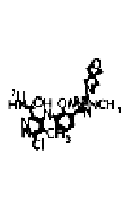 [2H]NC(=O)c1nnc(Cl)c(C)c1Nc1cccc(-c2nc(N3CC4(COC4)C3)n(C)n2)c1OC